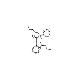 CCCCCC(C)(C(=O)C(C)(CCCCC)c1ccccn1)c1ccccn1